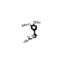 COc1ccc(-c2ccn(OC(=O)C(C)(C)C)n2)cc1OC